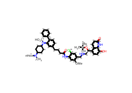 CCCCCCN(C)C1CCC(N(C(=O)O)c2cc(CCCC(=O)Nc3cc(OC)c(CNC[C@@H](O[Si](C)(C)C(C)(C)C)c4ccc(O)c5[nH]c(=O)ccc45)cc3Cl)ccc2-c2ccccc2)CC1